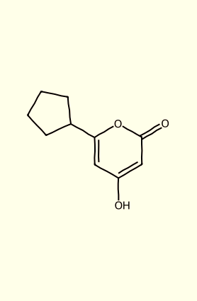 O=c1cc(O)cc(C2CCCC2)o1